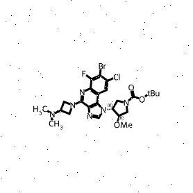 CO[C@@H]1CN(C(=O)OC(C)(C)C)C[C@H]1n1cnc2c(N3CC(N(C)C)C3)nc3c(F)c(Br)c(Cl)cc3c21